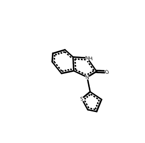 O=c1[nH]c2ccccc2n1-c1cccs1